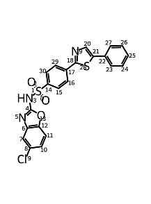 O=S(=O)(Nc1nc2cc(Cl)ccc2o1)c1ccc(-c2ncc(-c3ccccc3)s2)cc1